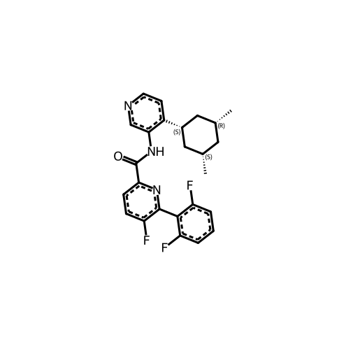 C[C@@H]1C[C@H](C)C[C@H](c2ccncc2NC(=O)c2ccc(F)c(-c3c(F)cccc3F)n2)C1